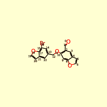 O=Cc1cc2ccoc2cc1OCc1cc(Br)c2occc2c1